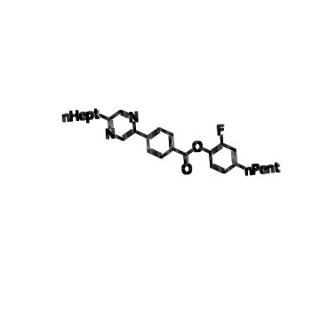 CCCCCCCc1cnc(-c2ccc(C(=O)Oc3ccc(CCCCC)cc3F)cc2)cn1